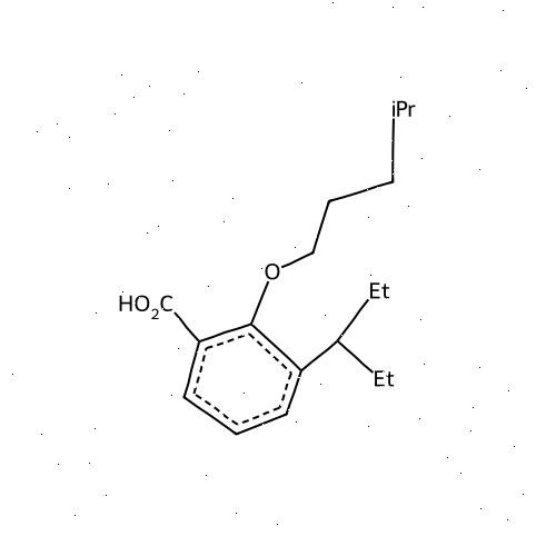 CCC(CC)c1cccc(C(=O)O)c1OCCCC(C)C